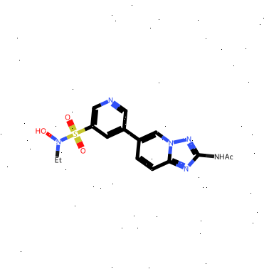 CCN(O)S(=O)(=O)c1cncc(-c2ccc3nc(NC(C)=O)nn3c2)c1